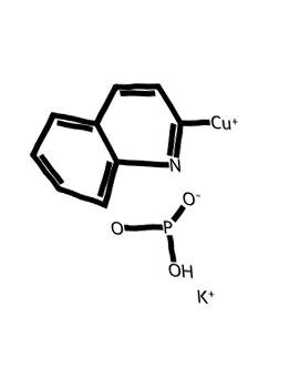 [Cu+][c]1ccc2ccccc2n1.[K+].[O-]P([O-])O